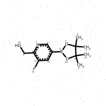 CC1(C)OB(c2cnc(CO)c(F)c2)OC1(C)C